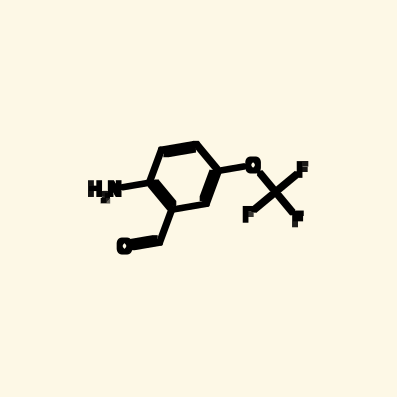 Nc1ccc(OC(F)(F)F)cc1C=O